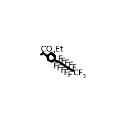 CCOC(=O)C(C)c1ccc(C(F)(F)C(F)(F)C(F)(F)C(F)(F)C(F)(F)C(F)(F)F)cc1